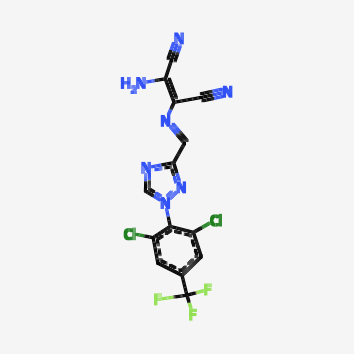 N#C/C(N)=C(C#N)/N=C/c1ncn(-c2c(Cl)cc(C(F)(F)F)cc2Cl)n1